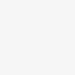 [Cu].[Fe].[KH].[SiH4]